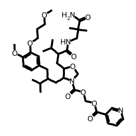 COCCCOc1cc(CC(CC2C(CC(C(=O)NCC(C)(C)C(N)=O)C(C)C)OCN2C(=O)OCOC(=O)c2cccnc2)C(C)C)ccc1OC